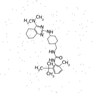 Cc1cccc(C(C)(C)C)c1NC(=O)NCC1CCC(Nc2nc3c(c(N(C)C)n2)CCCC3)CC1